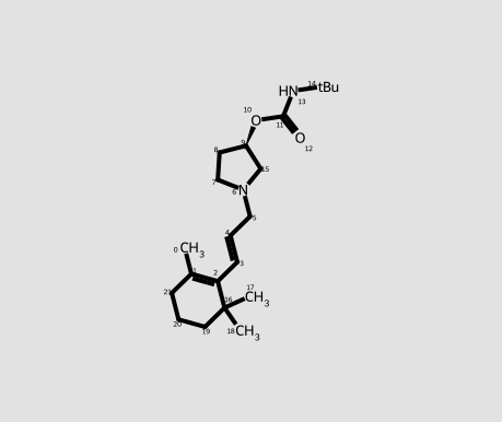 CC1=C(/C=C/CN2CC[C@@H](OC(=O)NC(C)(C)C)C2)C(C)(C)CCC1